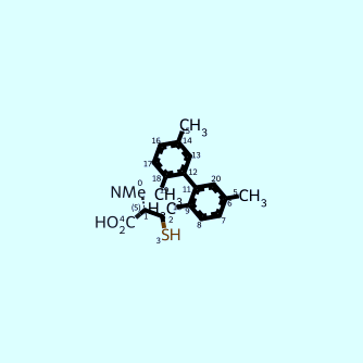 CN[C@H](CS)C(=O)O.Cc1ccc(C)c(-c2cc(C)ccc2C)c1